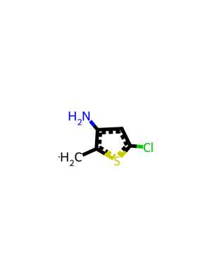 [CH2]c1sc(Cl)cc1N